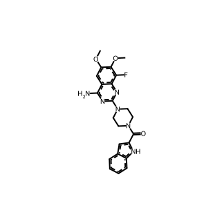 COc1cc2c(N)nc(N3CCN(C(=O)c4cc5ccccc5[nH]4)CC3)nc2c(F)c1OC